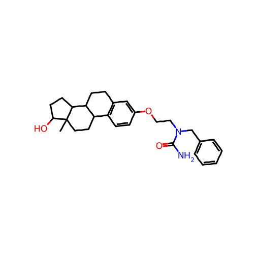 CC12CCC3c4ccc(OCCN(Cc5ccccc5)C(N)=O)cc4CCC3C1CCC2O